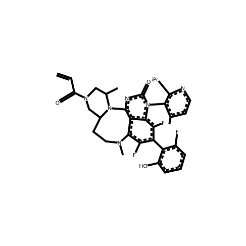 C=CC(=O)N1CC(C)N2c3nc(=O)n(-c4c(C)ccnc4C(C)C)c4c(F)c(-c5c(O)cccc5F)c(F)c(c34)N(C)CCC2C1